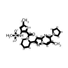 Cc1cc(NS(C)(=O)=O)c(C(=O)N2CCCCC2c2cc3nc(N4CCCC4)c(C)cn3n2)s1